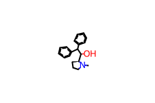 CN1CCC[C@H]1[C@H](O)C(c1ccccc1)c1ccccc1